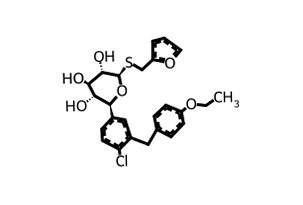 CCOc1ccc(Cc2cc([C@@H]3O[C@H](SCc4ccco4)[C@@H](O)[C@H](O)[C@H]3O)ccc2Cl)cc1